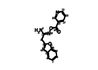 NC(Cc1nc2ccccc2o1)=NOC(=O)c1cccnc1